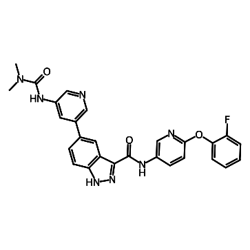 CN(C)C(=O)Nc1cncc(-c2ccc3[nH]nc(C(=O)Nc4ccc(Oc5ccccc5F)nc4)c3c2)c1